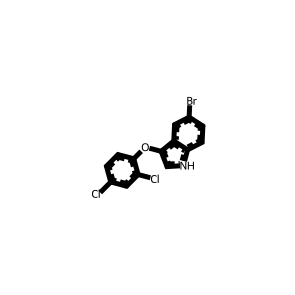 Clc1ccc(Oc2c[nH]c3ccc(Br)cc23)c(Cl)c1